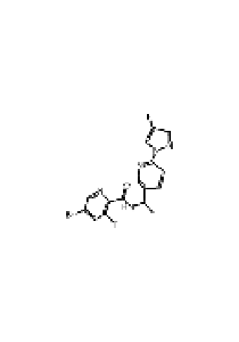 CC(NC(=O)c1ncc(Br)cc1F)c1ccc(-n2cc(F)cn2)nc1